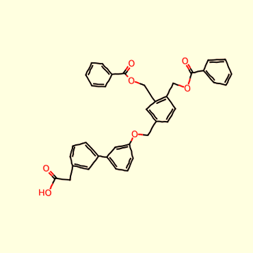 O=C(O)Cc1cccc(-c2cccc(OCc3ccc(COC(=O)c4ccccc4)c(COC(=O)c4ccccc4)c3)c2)c1